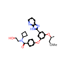 COC[C@H](C)Oc1cc(Oc2ccc(C(=O)N(CCO)C3CCC3)cc2)cc(-c2nc3cccnc3[nH]2)c1